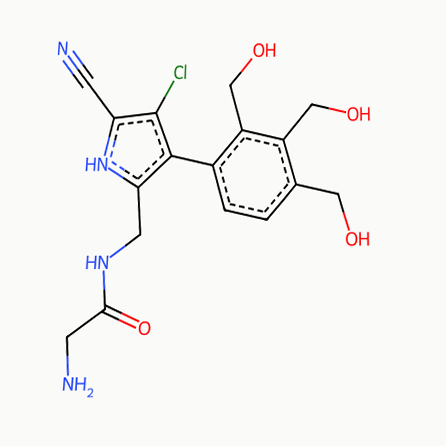 N#Cc1[nH]c(CNC(=O)CN)c(-c2ccc(CO)c(CO)c2CO)c1Cl